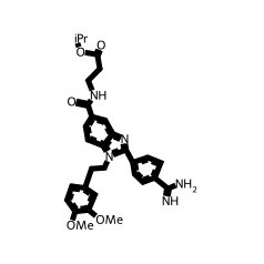 COc1ccc(CCn2c(-c3ccc(C(=N)N)cc3)nc3cc(C(=O)NCCC(=O)OC(C)C)ccc32)cc1OC